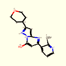 COc1ncccc1-c1cc(O)n2nc(C3CCOCC3)cc2n1